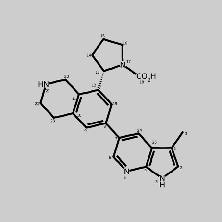 Cc1c[nH]c2ncc(-c3cc4c(c([C@@H]5CCCN5C(=O)O)c3)CNCC4)cc12